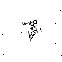 COc1cc(C(=O)Nc2c(C)nn(Cc3cc(F)cc(F)c3)c2C)c2ccccc2n1